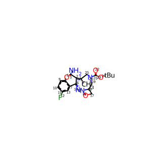 C/C1=C(C(N)=O)\C(c2cccc(F)c2)=N/N2OCC2CN(C(=O)OC(C)(C)C)C1